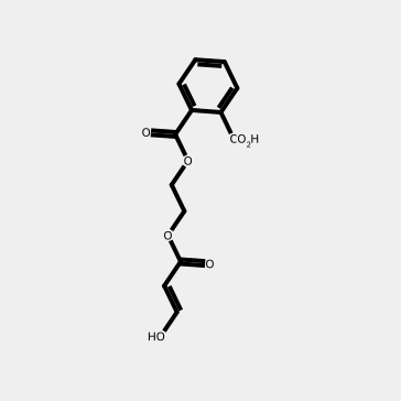 O=C(C=CO)OCCOC(=O)c1ccccc1C(=O)O